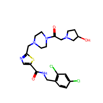 O=C(NCc1ccc(Cl)cc1Cl)c1cnc(CN2CCN(C(=O)CN3CCC(O)C3)CC2)s1